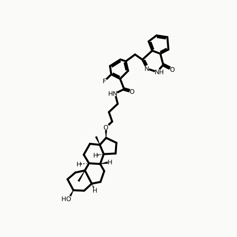 C[C@]12CC[C@H](O)C[C@@H]1CC[C@@H]1[C@@H]2CC[C@]2(C)[C@@H](OCCCNC(=O)c3cc(Cc4n[nH]c(=O)c5ccccc45)ccc3F)CC[C@@H]12